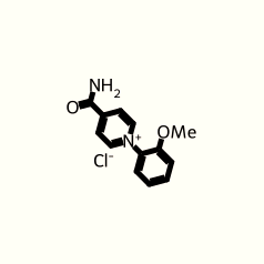 COc1ccccc1-[n+]1ccc(C(N)=O)cc1.[Cl-]